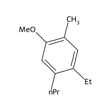 CCCc1cc(OC)c(C)cc1CC